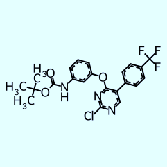 CC(C)(C)OC(=O)Nc1cccc(Oc2nc(Cl)ncc2-c2ccc(C(F)(F)F)cc2)c1